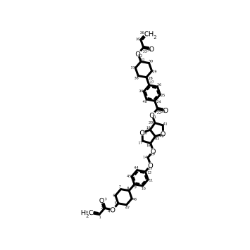 C=CC(=O)OC1CCC(c2ccc(OCOC3COC4C(OC(=O)c5ccc(C6CCC(OC(=O)C=C)CC6)cc5)COC34)cc2)CC1